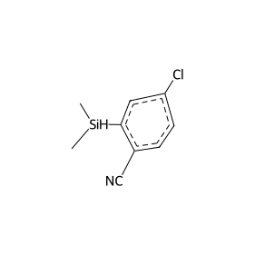 C[SiH](C)c1cc(Cl)ccc1C#N